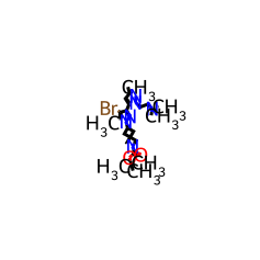 Cc1cc(-c2nn(C3CC4(C3)CN(C(=O)OC(C)(C)C)C4)c(C)c2Br)n(CCN(C)C)n1